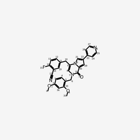 COc1ccc(Cn2cc(Cc3ccc(F)c(C#N)c3)n3cc(-c4ccncc4)cc3c2=O)c(OC)c1